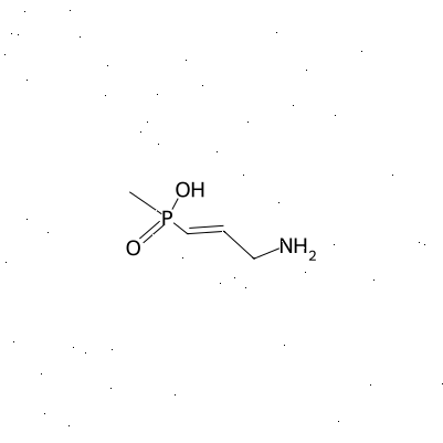 CP(=O)(O)C=CCN